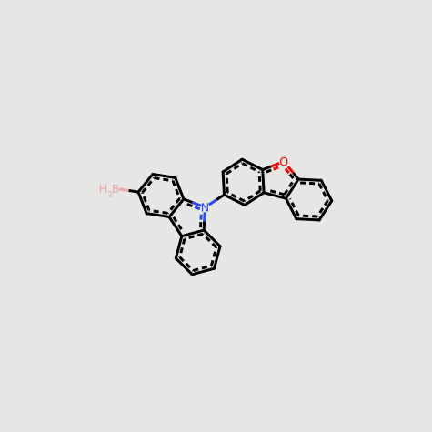 Bc1ccc2c(c1)c1ccccc1n2-c1ccc2oc3ccccc3c2c1